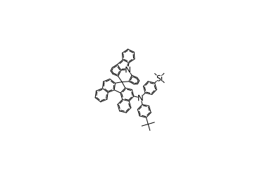 CC(C)(C)c1ccc(N(c2ccc([Si](C)(C)C)cc2)c2cc3c(c4ccccc24)-c2c(ccc4ccccc24)C32c3ccccc3-n3c4ccccc4c4cccc2c43)cc1